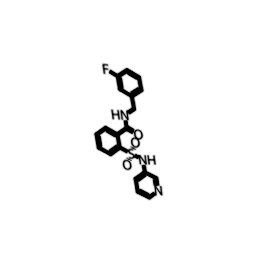 O=C(NCc1cccc(F)c1)c1ccccc1S(=O)(=O)Nc1cccnc1